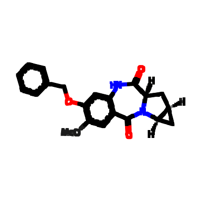 COc1cc2c(cc1OCc1ccccc1)NC(=O)[C@@H]1C[C@H]3C[C@H]3N1C2=O